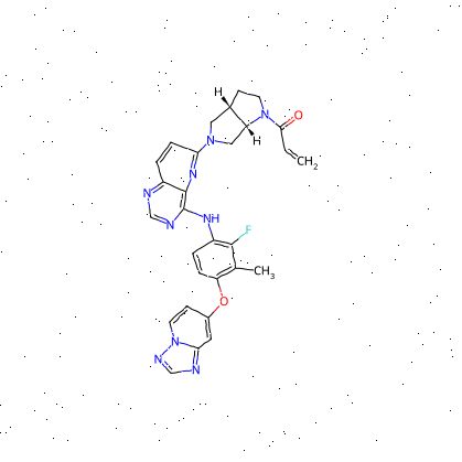 C=CC(=O)N1CC[C@H]2CN(c3ccc4ncnc(Nc5ccc(Oc6ccn7ncnc7c6)c(C)c5F)c4n3)C[C@H]21